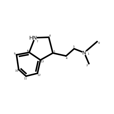 CN(C)CCC1CNc2ccccc21